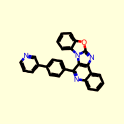 c1cncc(-c2ccc(-c3nc4ccccc4c4nc5oc6ccccc6n5c34)cc2)c1